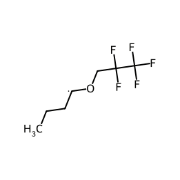 CCC[CH]OCC(F)(F)C(F)(F)F